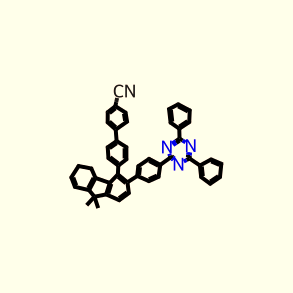 CC1(C)C2=C(CCC=C2)c2c1ccc(-c1ccc(-c3nc(-c4ccccc4)nc(-c4ccccc4)n3)cc1)c2-c1ccc(-c2ccc(C#N)cc2)cc1